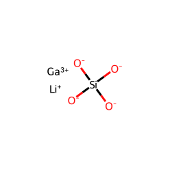 [Ga+3].[Li+].[O-][Si]([O-])([O-])[O-]